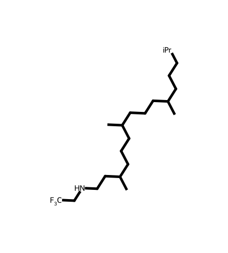 CC(C)CCCC(C)CCCC(C)CCCC(C)CCNCC(F)(F)F